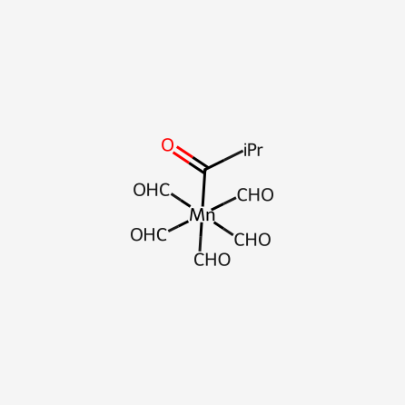 CC(C)[C](=O)[Mn]([CH]=O)([CH]=O)([CH]=O)([CH]=O)[CH]=O